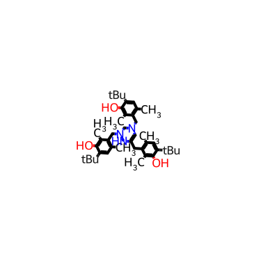 Cc1cc(C(C)(C)C)c(O)c(C)c1CC1=CN(Cc2c(C)cc(C(C)(C)C)c(O)c2C)CN(Cc2c(C)cc(C(C)(C)C)c(O)c2C)N1